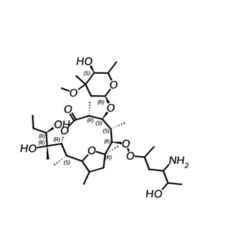 CC[C@@H](O)[C@@](C)(O)[C@@H]1OC(=O)[C@H](C)[C@@H](O[C@H]2CC(C)(OC)[C@@H](O)C(C)O2)[C@H](C)[C@@H](OOC(C)CC(N)C(C)O)[C@@]2(C)CC(C)C(O2)[C@@H]1C